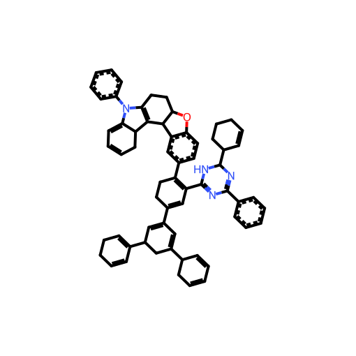 C1=CCC(C2=CC(C3=CC(C4=NC(c5ccccc5)=NC(C5C=CCCC5)N4)=C(c4ccc5c(c4)C4C6=C(CCC4O5)N(c4ccccc4)C4=CC=CCC46)CC3)=CC(C3=CCCC=C3)C2)C=C1